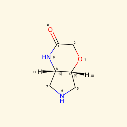 O=C1CO[C@@H]2CNC[C@@H]2N1